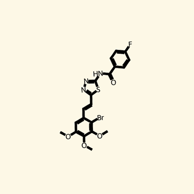 COc1cc(C=Cc2nnc(NC(=O)c3ccc(F)cc3)s2)c(Br)c(OC)c1OC